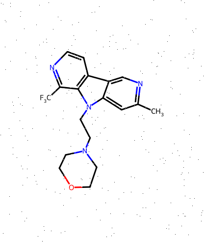 Cc1cc2c(cn1)c1ccnc(C(F)(F)F)c1n2CCN1CCOCC1